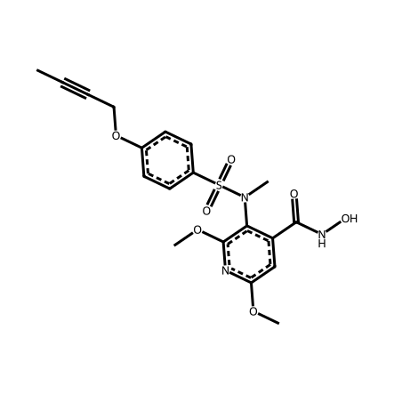 CC#CCOc1ccc(S(=O)(=O)N(C)c2c(C(=O)NO)cc(OC)nc2OC)cc1